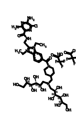 CCn1c(CNC(=O)c2nc(Cl)c(N)nc2N)[n+](CC)c2ccc(C(=O)N3CCC(CN(C[C@H](O)[C@@H](O)[C@H](O)[C@H](O)CO)C[C@H](O)[C@@H](O)[C@H](O)[C@H](O)CO)CC3)cc21.O=C(O)C(F)(F)F.O=C([O-])C(F)(F)F